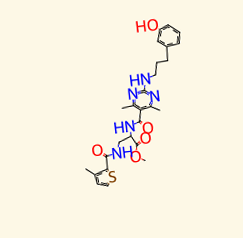 COC(=O)C(CNC(=O)c1sccc1C)NC(=O)c1c(C)nc(NCCCc2cccc(O)c2)nc1C